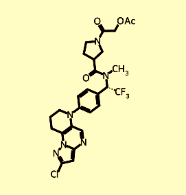 CC(=O)OCC(=O)N1CCC(C(=O)N(C)[C@@H](c2ccc(N3CCCc4c3cnc3cc(Cl)nn43)cc2)C(F)(F)F)C1